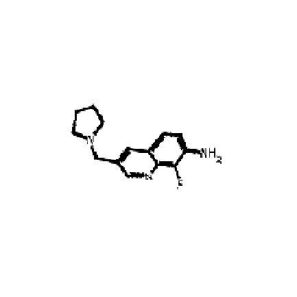 Nc1ccc2cc(CN3CCCC3)cnc2c1F